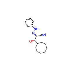 N#C/C(=N\Nc1ccccc1)C(=O)C1CCCCCCC1